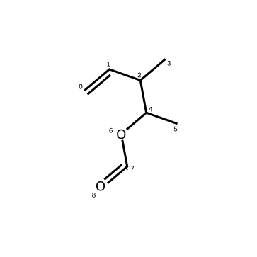 C=CC(C)C(C)O[C]=O